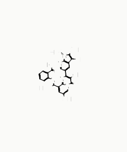 Cc1cc(C(C)Nc2ccccc2C(=O)O)c2nc(-c3cnc4c(c3)c(C)c(C)n4C)c(C)c(=O)n2c1